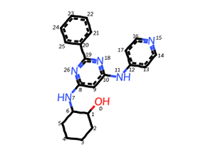 OC1CCCCC1Nc1cc(Nc2ccncc2)nc(-c2ccccc2)n1